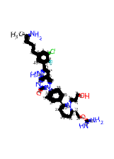 C[C@H](N)CCCc1cc(Cl)c(F)c(-c2cc3cn(-c4ccc([C@@H]5CCC[C@@H](CCOC(=N)N)N5CCCO)cc4)c(=O)nc3[nH]2)c1